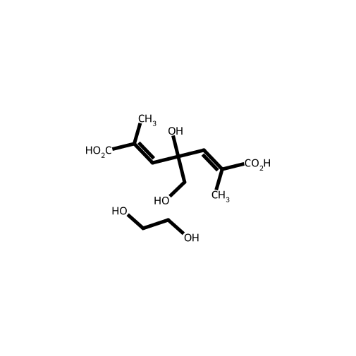 CC(=CC(O)(C=C(C)C(=O)O)CO)C(=O)O.OCCO